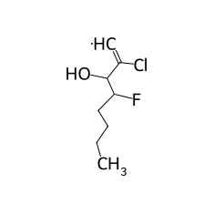 [CH]=C(Cl)C(O)C(F)CCCC